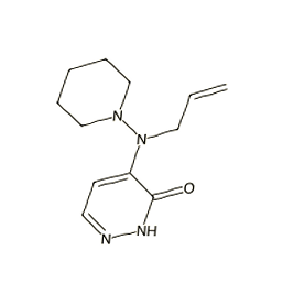 C=CCN(c1ccn[nH]c1=O)N1CCCCC1